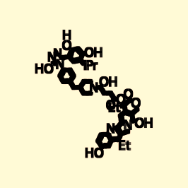 CCc1c2c(nc3ccc(O)cc13)C1=CC3=C(COC(=O)C3(CC)OC(=O)CCC(O)N3CCC(Cc4ccc(-n5c(O)nnc5-c5cc(C(C)C)c(O)cc5O)cc4)CC3)C(O)N1C2